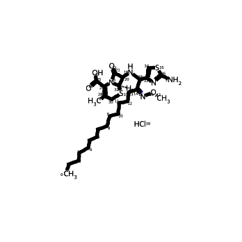 CCCCCCCCCCCCCC/C(=N/OC)C(NC1C(=O)N2C(C(=O)O)=C(C)CS[C@H]12)c1csc(N)n1.Cl